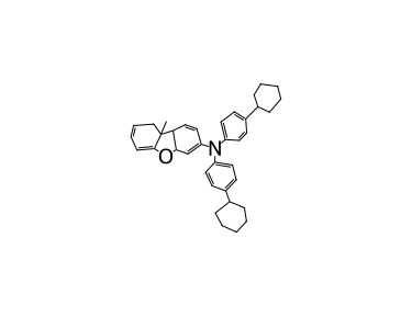 CC12CC=CC=C1OC1C=C(N(c3ccc(C4CCCCC4)cc3)c3ccc(C4CCCCC4)cc3)C=CC12